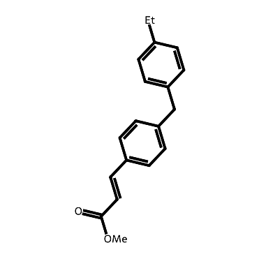 CCc1ccc(Cc2ccc(/C=C/C(=O)OC)cc2)cc1